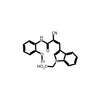 CCOc1ccccc1NC(=O)C(C#N)=Cc1cn(CC(=O)O)c2ccccc12